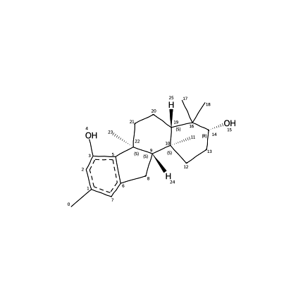 Cc1cc(O)c2c(c1)C[C@H]1[C@]3(C)CC[C@@H](O)C(C)(C)[C@H]3CC[C@]21C